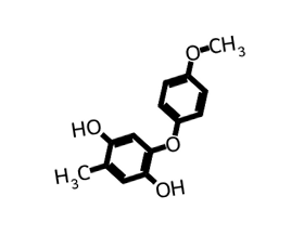 COc1ccc(Oc2cc(O)c(C)cc2O)cc1